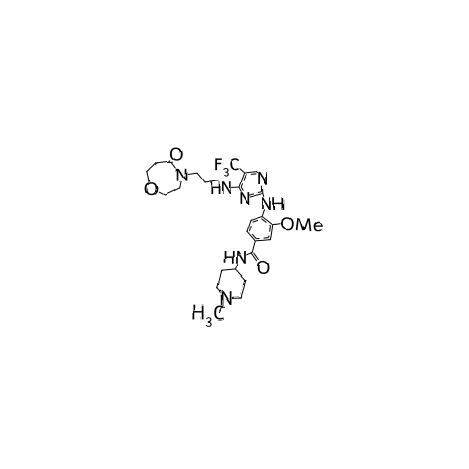 COc1cc(C(=O)NC2CCN(C)CC2)ccc1Nc1ncc(C(F)(F)F)c(NCCCN2CCOCCC2=O)n1